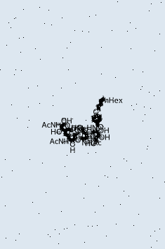 CCCCCC/C=C\CCCOc1ccc(C(=O)NC2C(OC3C(CO)OC(OC4C(CO)OC(CC5C(COC)OC(O)C(NC(C)=O)C5O)C(NC(C)=O)C4O)C(NC(C)=O)C3O)OC(CO)C(O)C2O)cc1